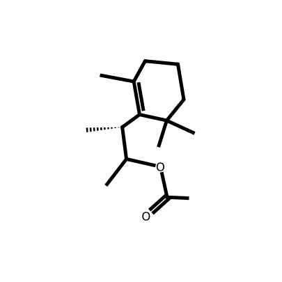 CC(=O)OC(C)[C@H](C)C1=C(C)CCCC1(C)C